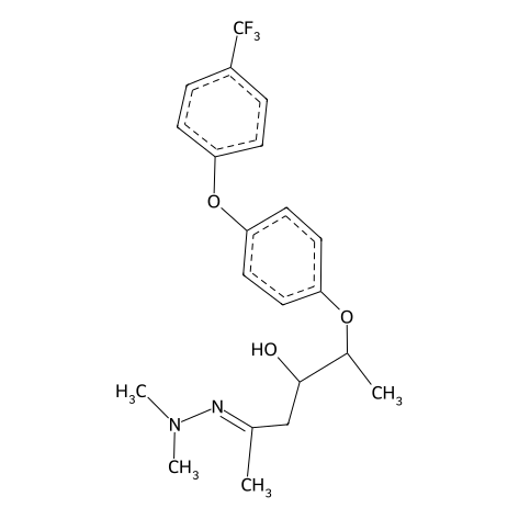 CC(CC(O)C(C)Oc1ccc(Oc2ccc(C(F)(F)F)cc2)cc1)=NN(C)C